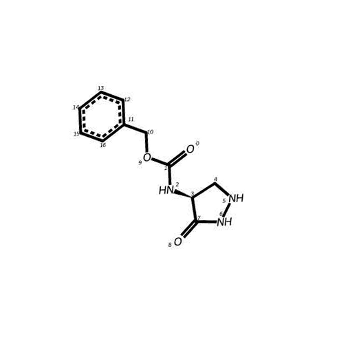 O=C(N[C@H]1CNNC1=O)OCc1ccccc1